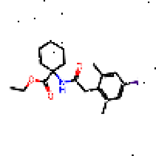 CCOC(=O)C1(NC(=O)Cc2c(C)cc(I)cc2C)CCCCC1